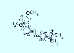 CO[C@H]1CC[C@](OC)(c2cccc(OCc3ccc(N(C)C(C)=O)cc3)c2)CC1